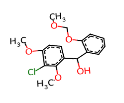 COCOc1ccccc1C(O)c1ccc(OC)c(Cl)c1OC